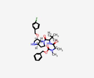 C[C@@H](C(=O)NC(C(=O)N1CC[C@H]2NC[C@H](OCc3ccc(F)cc3)[C@H]21)C(C)(C)C)N(C)C(=O)OCc1ccccc1